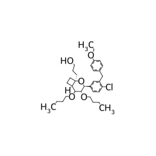 CCCCO[C@@H]1[C@@H](OCCCC)[C@H](c2ccc(Cl)c(Cc3ccc(OCC)cc3)c2)O[C@]2(CCCO)CC[C@H]12